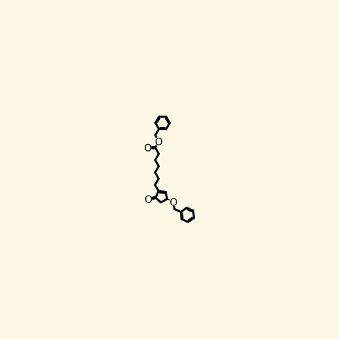 O=C(CCCCCCC1=C[C@H](OCc2ccccc2)CC1=O)OCc1ccccc1